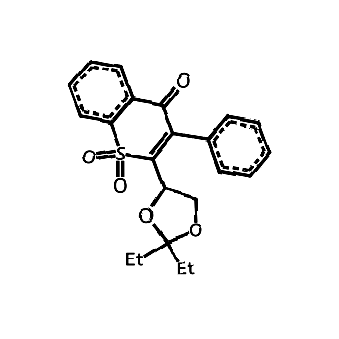 CCC1(CC)OCC(C2=C(c3ccccc3)C(=O)c3ccccc3S2(=O)=O)O1